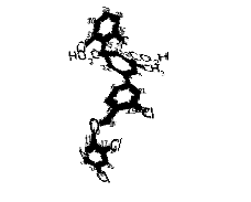 CC1(C(=O)O)C=C(c2ccc(COc3ncc(Cl)cc3Cl)c(Cl)c2)CC(C(=O)O)(c2c(F)cccc2Cl)C1